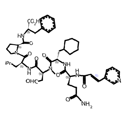 CC(C)C[C@H](NC(=O)[C@H](CC=O)N(C)C(=O)[C@H](CC1CCCCC1)NC(=O)[C@H](CCC(N)=O)NC(=O)/C=C/c1cccnc1)C(=O)N1CCC[C@H]1C(=O)N[C@@H](Cc1ccccc1)C(=O)O